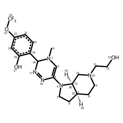 CN1C=C(N2CC[C@@H]3CCN(CCO)C[C@@H]32)N=NC1c1ccc(OC(F)(F)F)cc1O